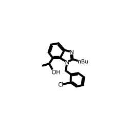 CCCCc1nc2cccc(C(C)O)c2n1Cc1ccccc1Cl